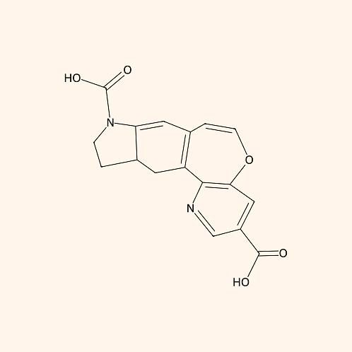 O=C(O)c1cnc2c(c1)OC=CC1=C2CC2CCN(C(=O)O)C2=C1